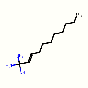 CCCCCCCCC=CC(N)(N)N